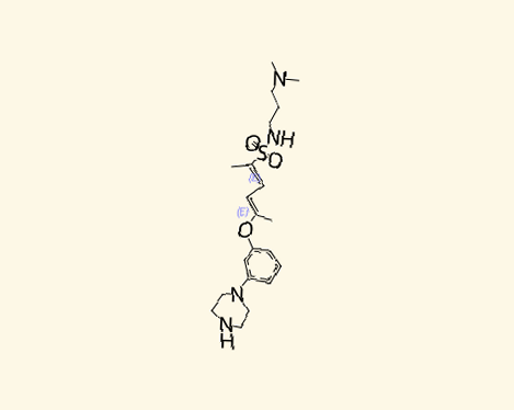 C/C(=C\C=C(/C)S(=O)(=O)NCCCN(C)C)Oc1cccc(N2CCNCC2)c1